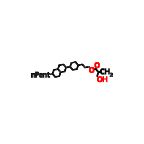 C=C(CO)C(=O)OCCCC1CCC(C2CCC3CC(CCCCC)CCC3C2)CC1